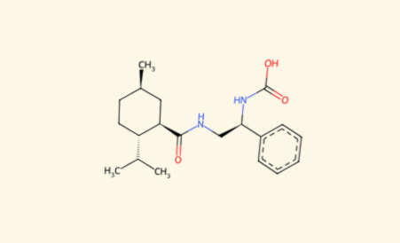 CC(C)[C@@H]1CC[C@@H](C)C[C@H]1C(=O)NC[C@@H](NC(=O)O)c1ccccc1